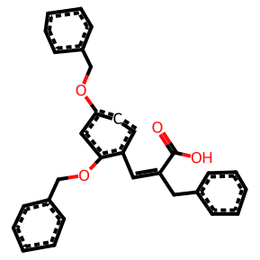 O=C(O)C(=Cc1ccc(OCc2ccccc2)cc1OCc1ccccc1)Cc1ccccc1